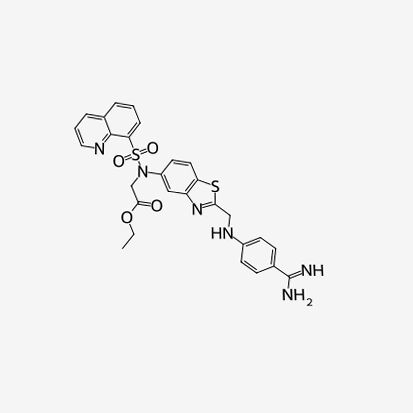 CCOC(=O)CN(c1ccc2sc(CNc3ccc(C(=N)N)cc3)nc2c1)S(=O)(=O)c1cccc2cccnc12